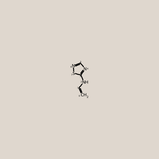 C=CNc1ncns1